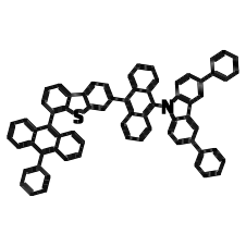 c1ccc(-c2ccc3c(c2)c2cc(-c4ccccc4)ccc2n3-c2c3ccccc3c(-c3ccc4c(c3)sc3c(-c5c6ccccc6c(-c6ccccc6)c6ccccc56)cccc34)c3ccccc23)cc1